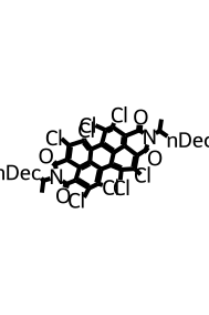 CCCCCCCCCCC(C)N1C(=O)c2c(Cl)c(Cl)c3c4c(Cl)c(Cl)c5c6c(c(Cl)c(Cl)c(c7c(Cl)c(Cl)c(c2c37)C1=O)c64)C(=O)N(C(C)CCCCCCCCCC)C5=O